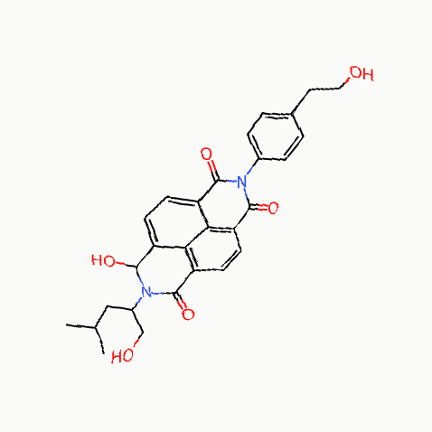 CC(C)CC(CO)N1C(=O)c2ccc3c4c(ccc(c24)C1O)C(=O)N(c1ccc(CCO)cc1)C3=O